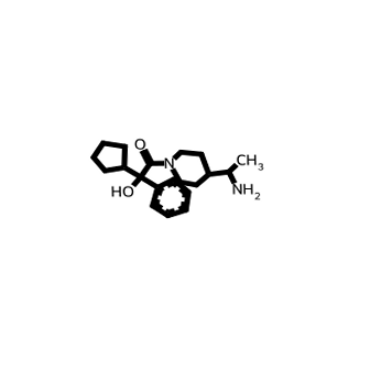 CC(N)C1CCN(C(=O)C(O)(c2ccccc2)C2CCCC2)CC1